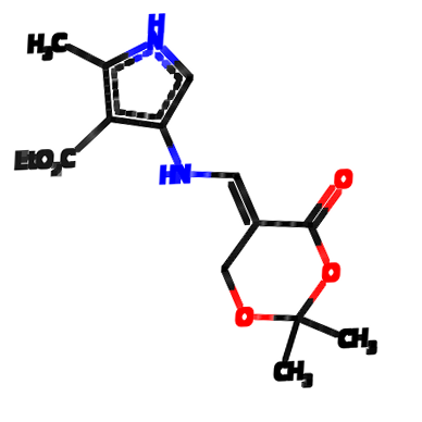 CCOC(=O)c1c(N/C=C2\COC(C)(C)OC2=O)c[nH]c1C